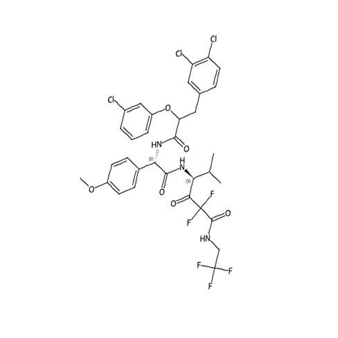 COc1ccc([C@H](NC(=O)C(Cc2ccc(Cl)c(Cl)c2)Oc2cccc(Cl)c2)C(=O)N[C@H](C(=O)C(F)(F)C(=O)NCC(F)(F)F)C(C)C)cc1